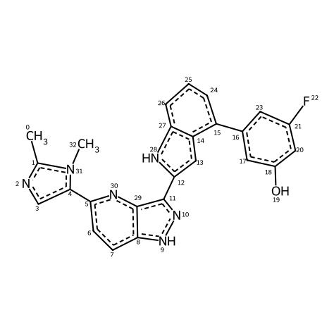 Cc1ncc(-c2ccc3[nH]nc(-c4cc5c(-c6cc(O)cc(F)c6)cccc5[nH]4)c3n2)n1C